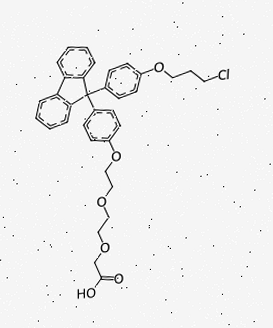 O=C(O)COCCOCCOc1ccc(C2(c3ccc(OCCCCl)cc3)c3ccccc3-c3ccccc32)cc1